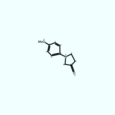 COc1ccc(N2CCC(=O)C2)cc1